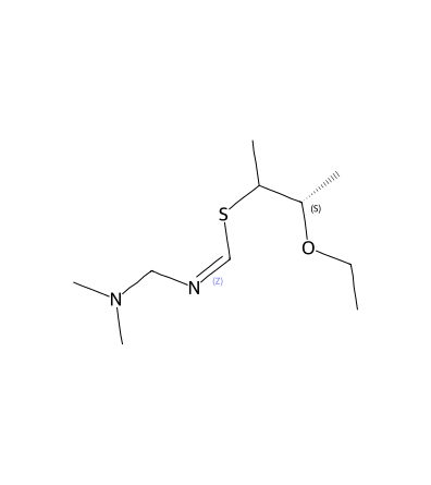 CCO[C@@H](C)C(C)S/C=N\CN(C)C